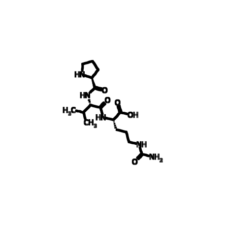 CC(C)[C@H](NC(=O)[C@@H]1CCCN1)C(=O)N[C@@H](CCCNC(N)=O)C(=O)O